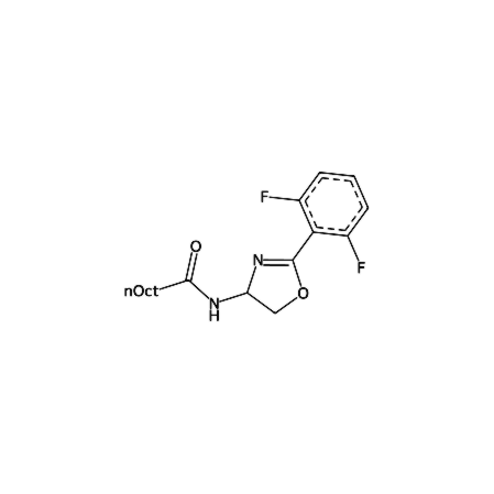 CCCCCCCCC(=O)NC1COC(c2c(F)cccc2F)=N1